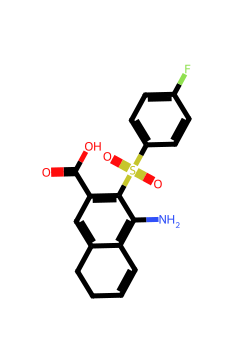 Nc1c2c(cc(C(=O)O)c1S(=O)(=O)c1ccc(F)cc1)CCC=C2